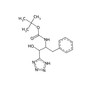 CC(C)(C)OC(=O)NC(Cc1ccccc1)C(O)c1nnn[nH]1